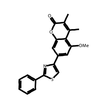 COc1cc(-c2csc(-c3ccccc3)n2)cc2oc(=O)c(C)c(C)c12